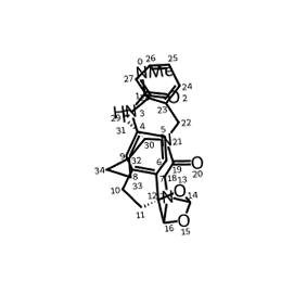 CNC(=O)Nc1ccc2c(c1)CC[C@@]21OC2OC1N2CC(=O)N(Cc1ccccc1F)[C@@H](C)C1CC1